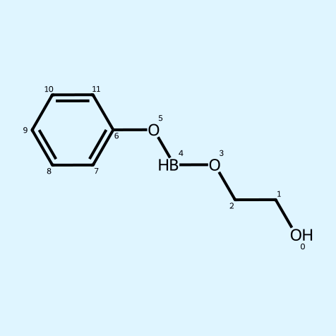 OCCOBOc1ccccc1